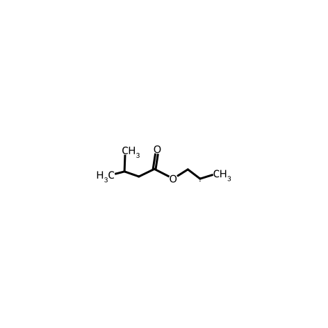 C[CH]COC(=O)CC(C)C